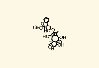 CC1=C2[C@@H](O)C(=O)[C@@]3(C)C(C[C@](CO)(C[C@@H]1OC(=O)C[C@@H](NC(=O)OC(C)(C)C)c1ccccc1)C2(C)C)[C@@H]1CO[C@@H]1C[C@@H]3O